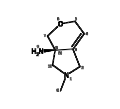 CN1CC2=CCOC[C@@]2(N)C1